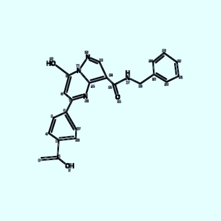 C=C(O)c1ccc(-c2cc(O)n3ncc(C(=O)NCc4ccccc4)c3n2)cc1